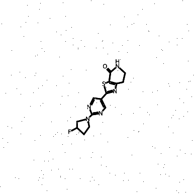 O=C1NCCc2nc(-c3cnc(N4CCC(F)C4)nc3)sc21